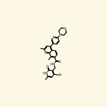 CCCc1cc(C)[nH]c(=O)c1CNC(=O)c1ccc2c(-c3ccc(N4CCOCC4)nc3)cc(C)nc2c1C